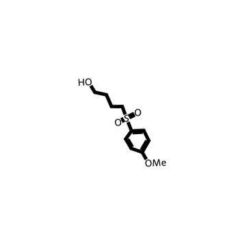 COc1ccc(S(=O)(=O)CCCCO)cc1